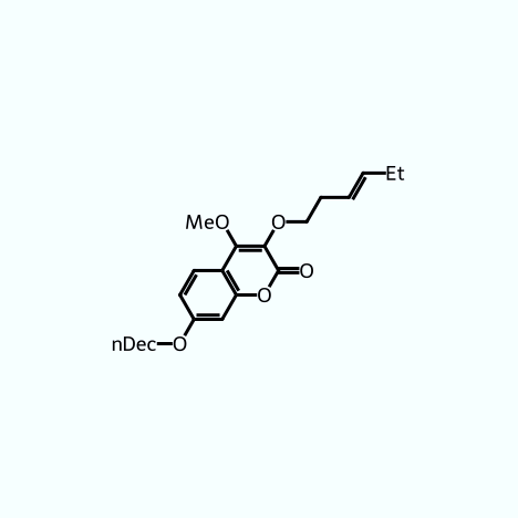 CC/C=C/CCOc1c(OC)c2ccc(OCCCCCCCCCC)cc2oc1=O